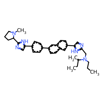 C=C(CC)N(CCC)Cc1ncc(-c2ccc3cc(-c4ccc(-c5cnc(C6CCCN6C)[nH]5)cc4)ccc3c2)[nH]1